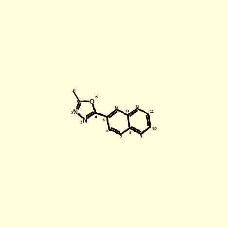 Cc1nnc(-c2ccc3ccccc3c2)o1